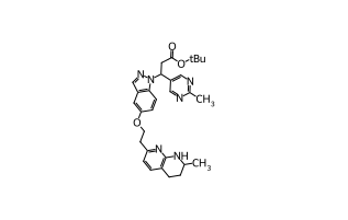 Cc1ncc(C(CC(=O)OC(C)(C)C)n2ncc3cc(OCCc4ccc5c(n4)NC(C)CC5)ccc32)cn1